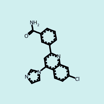 NC(=O)c1cccc(-c2cc(-n3ccnc3)c3ccc(Cl)cc3n2)c1